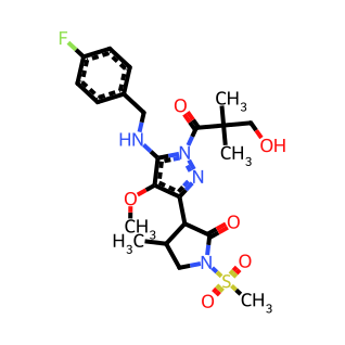 COc1c(C2C(=O)N(S(C)(=O)=O)CC2C)nn(C(=O)C(C)(C)CO)c1NCc1ccc(F)cc1